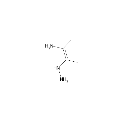 C/C(N)=C(\C)NN